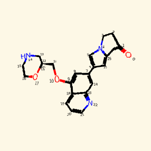 O=C1CCn2cc(-c3cc(OC[C@@H]4CNCCO4)c4cccnc4c3)cc21